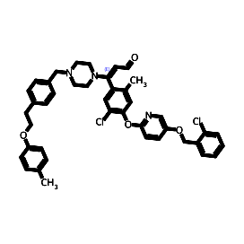 Cc1ccc(OCCc2ccc(CN3CCN(/C(=C/C=O)c4cc(Cl)c(Oc5ccc(OCc6ccccc6Cl)cn5)cc4C)CC3)cc2)cc1